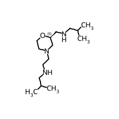 CC(C)CNCCN1CCO[C@@H](CNCC(C)C)C1